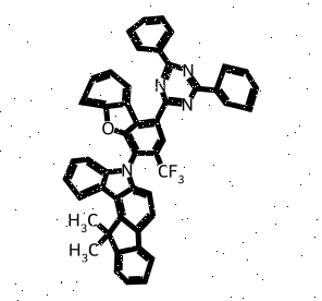 CC1(C)c2ccccc2-c2ccc3c(c21)c1ccccc1n3-c1c(C(F)(F)F)cc(-c2nc(-c3ccccc3)nc(-c3ccccc3)n2)c2c1oc1ccccc12